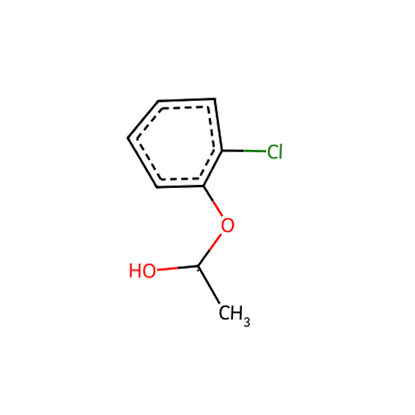 C[C](O)Oc1ccccc1Cl